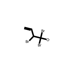 C=CC(Br)C([O])(Br)Br